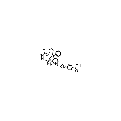 CNC(=O)O[C@H]1CCC[C@@H]1[C@](Cn1cnnc1C)(c1ccccc1)C1CCN(CC2CN(c3ccc(C(=O)O)cc3)C2)CC1